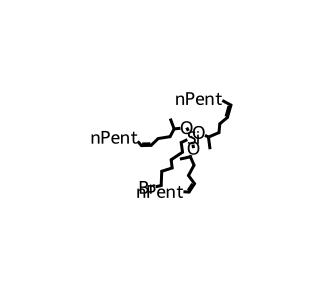 CCCCC/C=C\CCC(C)O[Si](CCCCCCBr)(OC(C)CC/C=C\CCCCC)OC(C)CC/C=C\CCCCC